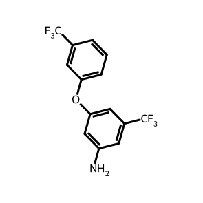 Nc1cc(Oc2cccc(C(F)(F)F)c2)cc(C(F)(F)F)c1